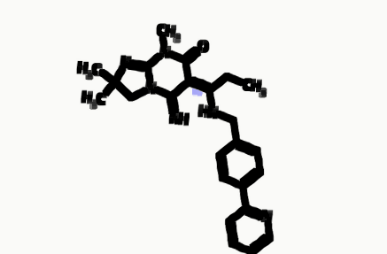 CC/C(NCc1ccc(-c2ccc(F)cn2)cc1)=c1\c(=O)n(C)c2n(c1=N)CC(C)(C)N=2